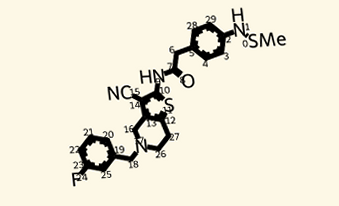 CSNc1ccc(CC(=O)Nc2sc3c(c2C#N)CN(Cc2cccc(F)c2)CC3)cc1